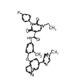 CCn1cc(C(=O)Nc2ccc(Oc3cc(-c4cn(C)cn4)cn4nccc34)c(C)c2)c(=O)n(-c2ccc(F)cc2)c1=O